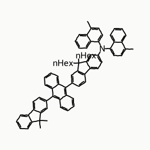 CCCCCCC1(CCCCCC)c2cc(-c3c4ccccc4c(-c4ccc5c(c4)C(C)(C)c4ccccc4-5)c4ccccc34)ccc2-c2ccc(N(c3ccc(C)c4ccccc34)c3ccc(C)c4ccccc34)cc21